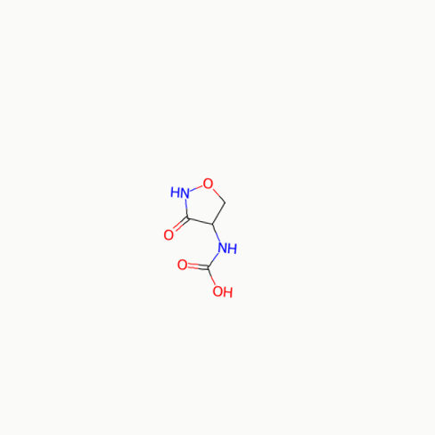 O=C(O)NC1CONC1=O